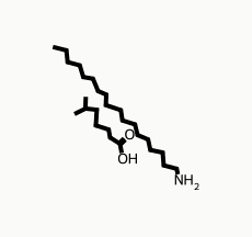 CC(C)CCCCC(=O)O.CCCCCCCCCCCCCCCCCCN